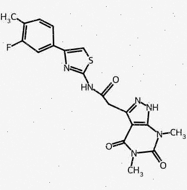 Cc1ccc(-c2csc(NC(=O)Cc3n[nH]c4c3c(=O)n(C)c(=O)n4C)n2)cc1F